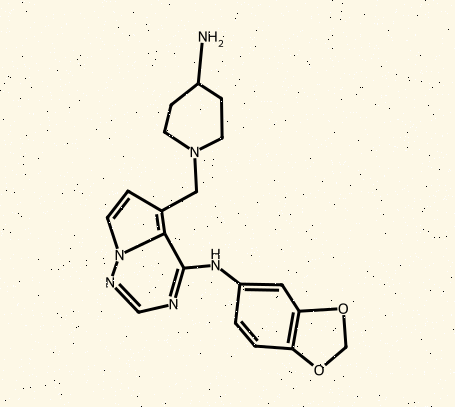 NC1CCN(Cc2ccn3ncnc(Nc4ccc5c(c4)OCO5)c23)CC1